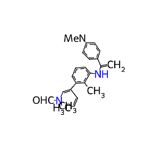 C=C(Nc1cccc(C(/C=C\C)=C/N(C)C=O)c1C)c1ccc(NC)cc1